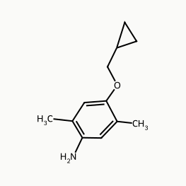 Cc1cc(OCC2CC2)c(C)cc1N